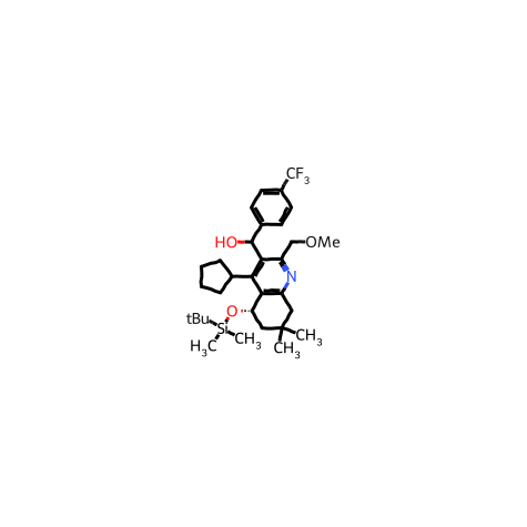 COCc1nc2c(c(C3CCCC3)c1C(O)c1ccc(C(F)(F)F)cc1)[C@@H](O[Si](C)(C)C(C)(C)C)CC(C)(C)C2